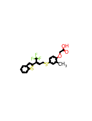 Cc1cc(SCC=C(c2cc3ccccc3s2)C(F)(F)F)ccc1OCC(=O)O